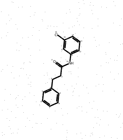 O=C(CCc1ccccc1)Nc1cccc(Cl)c1